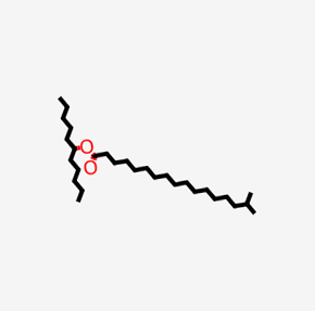 CCCCCC(CCCCC)OC(=O)CCCCCCCCCCCCCCC(C)C